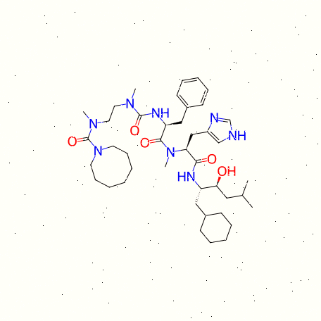 CC(C)C[C@H](O)[C@H](CC1CCCCC1)NC(=O)[C@H](Cc1c[nH]cn1)N(C)C(=O)[C@H](Cc1ccccc1)NC(=O)N(C)CCN(C)C(=O)N1CCCCCCC1